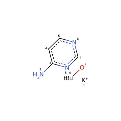 CC(C)(C)[O-].Nc1ccncn1.[K+]